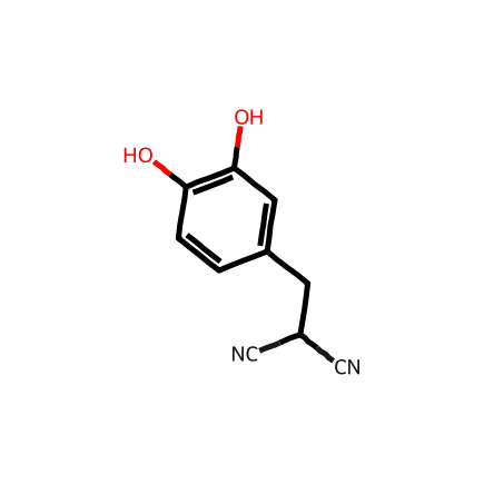 N#CC(C#N)Cc1ccc(O)c(O)c1